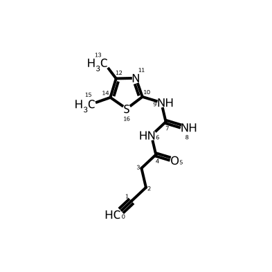 C#CCCC(=O)NC(=N)Nc1nc(C)c(C)s1